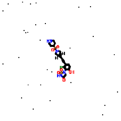 O=C1CN(c2c(O)ccc(C#CC3[C@H]4CN(S(=O)(=O)C5CCNCC5)C[C@@H]34)c2F)S(=O)(=O)N1